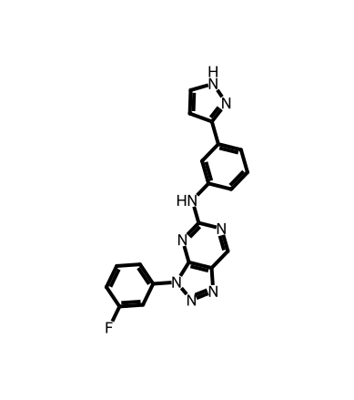 Fc1cccc(-n2nnc3cnc(Nc4cccc(-c5cc[nH]n5)c4)nc32)c1